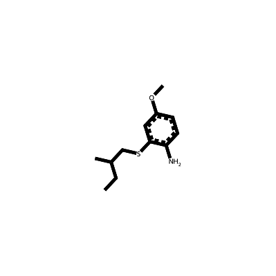 CCC(C)CSc1cc(OC)ccc1N